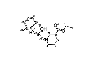 CCOC(=O)C1CCCN(CC(O)Nc2c(C)cccc2C)C1